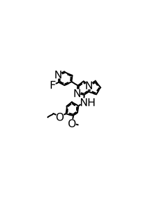 CCOc1ccc(Nc2nc(-c3ccnc(F)c3)cn3cccc23)cc1OC